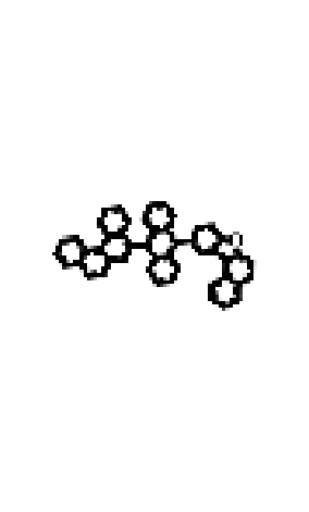 c1ccc2c(c1)ccc1cc(-c3c4ccccc4c(-c4ccc5oc6ccc7ccccc7c6c5c4)c4ccccc34)c3ccccc3c12